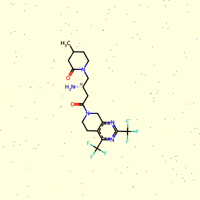 CC1CCN(C[C@@H](N)CC(=O)N2CCc3c(nc(C(F)(F)F)nc3C(F)(F)F)C2)C(=O)C1